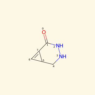 O=C1NNCC2C=C12